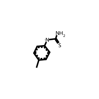 Cc1ccc([N]C(N)=S)cc1